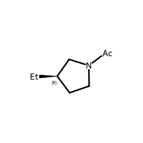 CC[C@@H]1CCN(C(C)=O)C1